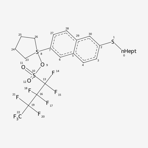 CCCCCCCSc1ccc2cc(S3(OS(=O)(=O)C(F)(F)C(F)(F)C(F)(F)C(F)(F)F)CCCC3)ccc2c1